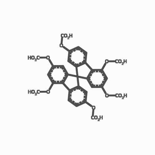 O=C(O)Oc1ccc2c(c1)C1(c3cc(OC(=O)O)ccc3-c3c(OC(=O)O)cc(OC(=O)O)cc31)c1cc(OC(=O)O)cc(OC(=O)O)c1-2